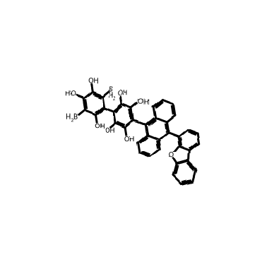 Bc1c(O)c(O)c(B)c(-c2c(O)c(O)c(-c3c4ccccc4c(-c4cccc5c4oc4ccccc45)c4ccccc34)c(O)c2O)c1O